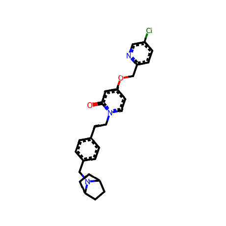 O=c1cc(OCc2ccc(Cl)cn2)ccn1CCc1ccc(CN2C3CCC2CC3)cc1